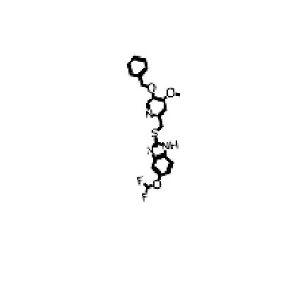 COc1cc(CSc2nc3cc(OC(F)F)ccc3[nH]2)ncc1OCc1ccccc1